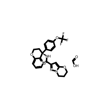 O=C(N[C@]1(c2ccc(OC(F)(F)F)cc2)CCOc2cccnc21)c1cc2n(n1)CCCO2.O=CO